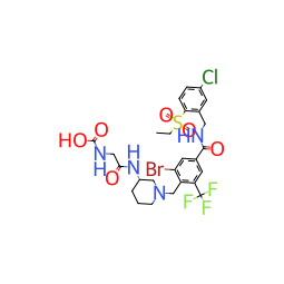 CCS(=O)(=O)c1ccc(Cl)cc1CNC(=O)c1cc(Br)c(CN2CCC[C@H](NC(=O)CNC(=O)O)C2)c(C(F)(F)F)c1